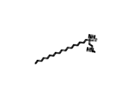 CCCCCCCCCCCCCCCCCCC(C)(N)CCNC